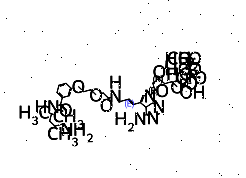 C=CCO[C@@H]1C[C@H](N2C=C(/C=C/CNC(=O)COCCOc3cccc(C(=O)NC(C)(C)CC(C)CN)c3)C3C(N)=NC=NC32)OC1COP(=O)(O)OP(=O)(O)OP(=O)(O)O